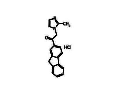 Cc1nccn1CC(=O)c1ccc2c(c1)Cc1ccccc1-2.Cl